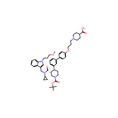 COCCCn1cc(CN(C(=O)[C@H]2CN(C(=O)OC(C)(C)C)CC[C@@H]2c2cccc(-c3ccc(OCCCN4CCC(C(=O)O)CC4)cc3)c2)C2CC2)c2ccccc21